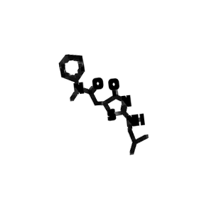 CC(C)CNC1=NC(=O)C(CC(=O)N(C)c2ccccc2)S1